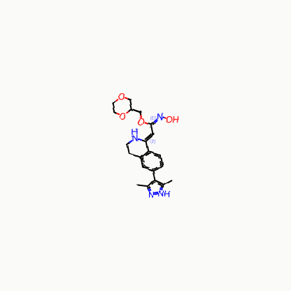 Cc1n[nH]c(C)c1-c1ccc2c(c1)CCN/C2=C\C(=N/O)OCC1COCCO1